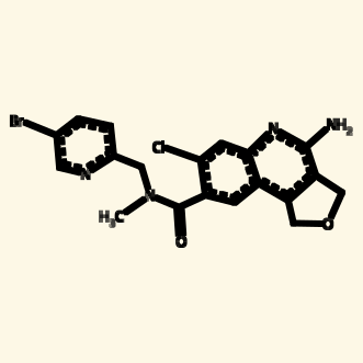 CN(Cc1ccc(Br)cn1)C(=O)c1cc2c3c(c(N)nc2cc1Cl)COC3